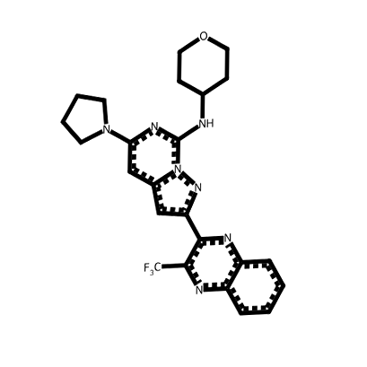 FC(F)(F)c1nc2ccccc2nc1-c1cc2cc(N3CCCC3)nc(NC3CCOCC3)n2n1